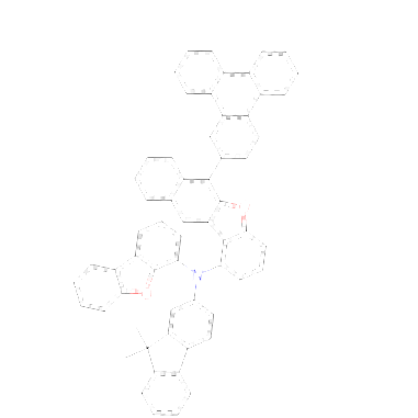 CC1(C)c2ccccc2-c2ccc(N(c3cccc4c3oc3ccccc34)c3cccc4oc5c(-c6ccc7c8ccccc8c8ccccc8c7c6)c6ccccc6cc5c34)cc21